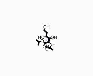 CC(=O)N/C(=C(\O)[C@H](O)CCO)[C@H](O)OC(C)C